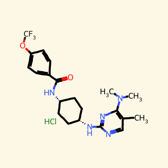 Cc1cnc(N[C@H]2CC[C@@H](NC(=O)c3ccc(OC(F)(F)F)cc3)CC2)nc1N(C)C.Cl